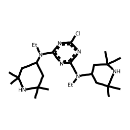 CCN(c1nc(Cl)nc(N(CC)C2CC(C)(C)NC(C)(C)C2)n1)C1CC(C)(C)NC(C)(C)C1